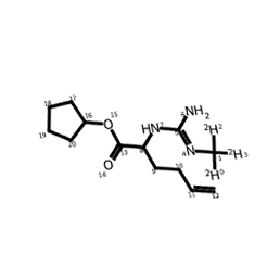 [2H]C([2H])([2H])N=C(N)NC(CCC=C)C(=O)OC1CCCC1